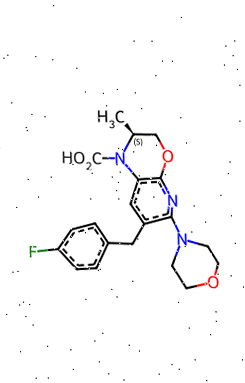 C[C@H]1COc2nc(N3CCOCC3)c(Cc3ccc(F)cc3)cc2N1C(=O)O